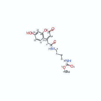 CC(C)(C)OC(=O)NCCCCNC(=O)Cc1cc(=O)oc2cc(O)ccc12